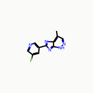 Cc1cn[nH]c2nc(-c3cncc(F)c3)nc1-2